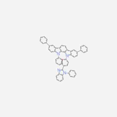 c1ccc(-c2ccc3c(c2)c2ccc4c5cc(-c6ccccc6)ccc5n(-c5ccc(-c6nc7ccccc7n6-c6ccccc6)cc5)c4c2n3-c2ccccc2)cc1